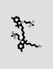 CC(=O)CCCCCC1(C)/C(=C/C=C/C=C/C2=[N+](CCCS(C)(=O)=O)c3ccc(C)cc3C2(C)C)N(CCCS(C)(=O)=O)c2ccc(C)cc21